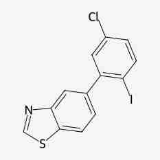 Clc1ccc(I)c(-c2ccc3scnc3c2)c1